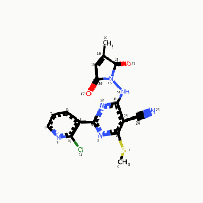 CSc1nc(-c2cccnc2Cl)nc(NN2C(=O)C=C(C)C2=O)c1C#N